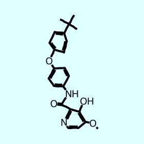 COc1ccnc(C(=O)Nc2ccc(Oc3ccc(C(C)(C)C)cc3)cc2)c1O